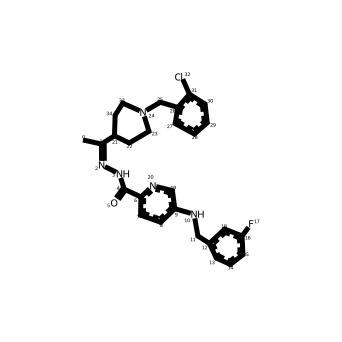 CC(=NNC(=O)c1ccc(NCc2cccc(F)c2)cn1)C1CCN(Cc2ccccc2Cl)CC1